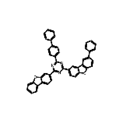 c1ccc(-c2ccc(-c3nc(-c4ccc5c(c4)oc4ccccc45)nc(-c4ccc5sc6ccc(-c7ccccc7)cc6c5c4)n3)cc2)cc1